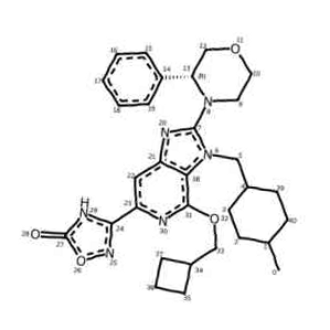 CC1CCC(Cn2c(N3CCOC[C@H]3c3ccccc3)nc3cc(-c4noc(=O)[nH]4)nc(OCC4CCC4)c32)CC1